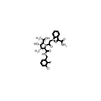 C[C@@H](O)[C@H]1[C@@H](O)[C@@H](C)C(C(=O)NCc2cccc(Cl)c2F)N1C(=O)Cn1nc(C(N)=O)c2ccccc21